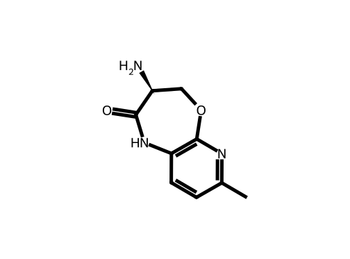 Cc1ccc2c(n1)OC[C@H](N)C(=O)N2